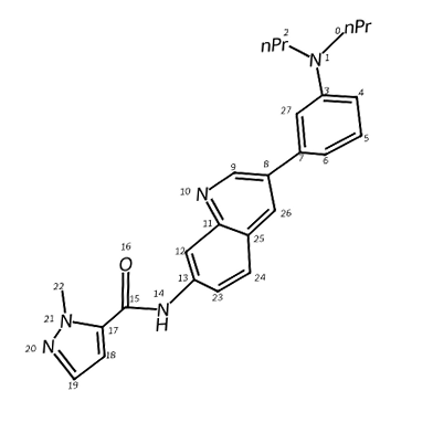 CCCN(CCC)c1cccc(-c2cnc3cc(NC(=O)c4ccnn4C)ccc3c2)c1